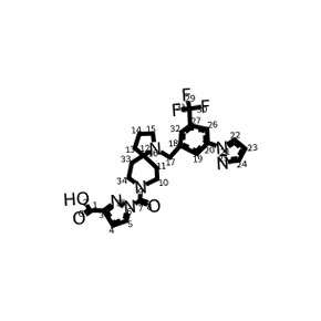 O=C(O)c1ccn(C(=O)N2CCC3(CCCN3Cc3cc(-n4cccn4)cc(C(F)(F)F)c3)CC2)n1